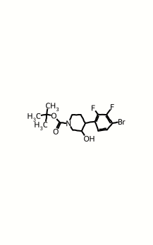 CC(C)(C)OC(=O)N1CCC(c2ccc(Br)c(F)c2F)C(O)C1